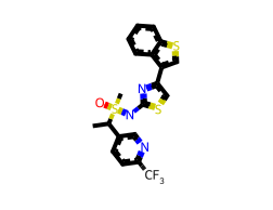 CC(c1ccc(C(F)(F)F)nc1)S(C)(=O)=Nc1nc(-c2csc3ccccc23)cs1